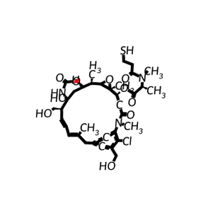 C/C1=C\C=C\[C@@H](CO)[C@@]2(O)C[C@H](OC(=O)N2)[C@@H](C)C2O[C@]2(C)[C@@H](OC(=O)[C@H](C)N(C)C(=O)CCS)CC(=O)N(C)c2cc(cc(CO)c2Cl)C1